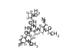 C=CC(=O)N1CCN(C2NC(OCC3CCCN3C)NC3C(=O)[C@]4(CCC32)Cc2ccc(F)cc2N(C)C4)CC1CC#N